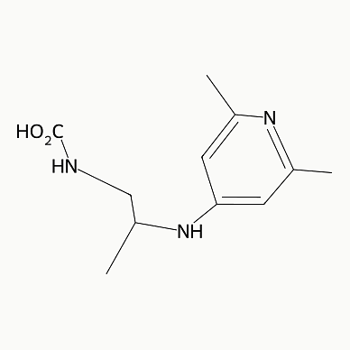 Cc1cc(NC(C)CNC(=O)O)cc(C)n1